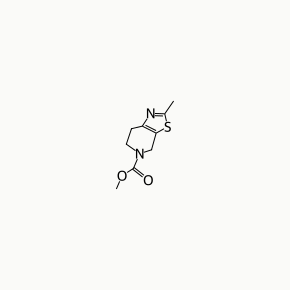 COC(=O)N1CCc2nc(C)sc2C1